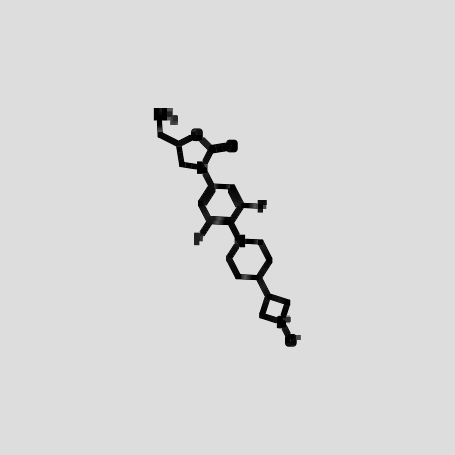 NCC1CN(c2cc(F)c(N3CCC(C4C[S+]([O-])C4)CC3)c(F)c2)C(=O)O1